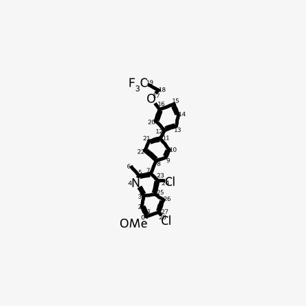 COc1cc2nc(C)c(-c3ccc(-c4cccc(OCC(F)(F)F)c4)cc3)c(Cl)c2cc1Cl